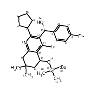 CC1(C)Cc2nc(C3CCCC3)c([C@H](O)c3ccc(F)cc3)c(I)c2C(O[Si](C)(C)C(C)(C)C)C1